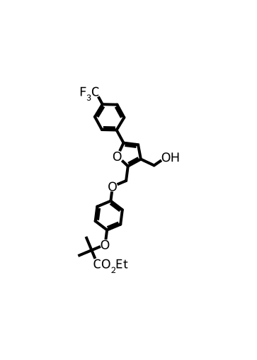 CCOC(=O)C(C)(C)Oc1ccc(OCc2oc(-c3ccc(C(F)(F)F)cc3)cc2CO)cc1